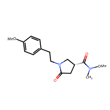 COc1ccc(CCN2C[C@H](C(=O)N(C)OC)CC2=O)cc1